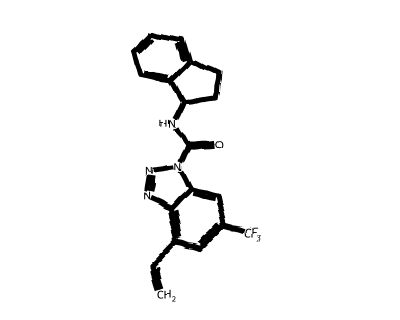 C=Cc1cc(C(F)(F)F)cc2c1nnn2C(=O)NC1CCc2ccccc21